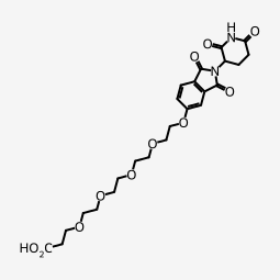 O=C(O)CCOCCOCCOCCOCCOc1ccc2c(c1)C(=O)N(C1CCC(=O)NC1=O)C2=O